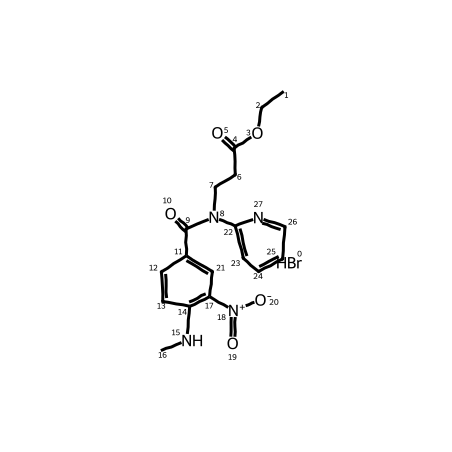 Br.CCOC(=O)CCN(C(=O)c1ccc(NC)c([N+](=O)[O-])c1)c1ccccn1